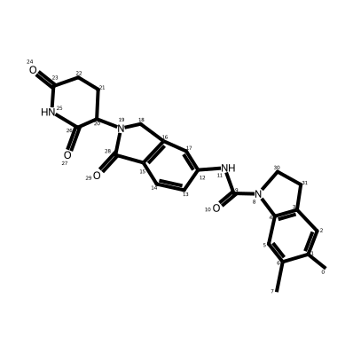 Cc1cc2c(cc1C)N(C(=O)Nc1ccc3c(c1)CN(C1CCC(=O)NC1=O)C3=O)CC2